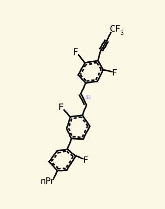 CCCc1ccc(-c2ccc(/C=C/c3cc(F)c(C#CC(F)(F)F)c(F)c3)c(F)c2)c(F)c1